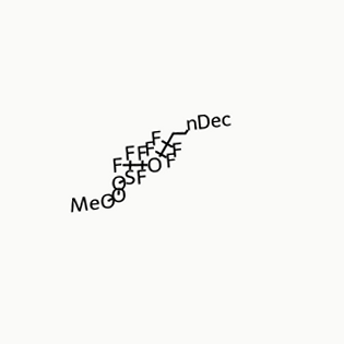 CCCCCCCCCCCCC(F)(F)C(F)(F)OC(F)(F)C(F)(F)SOOOC